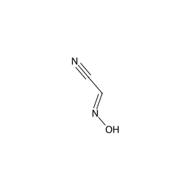 N#CC=NO